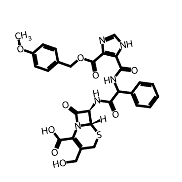 COc1ccc(COC(=O)c2nc[nH]c2C(=O)NC(C(=O)N[C@@H]2C(=O)N3C(C(=O)O)=C(CO)CS[C@@H]23)c2ccccc2)cc1